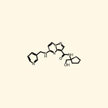 O=C(NC1(CO)CCCC1)c1cnn2ccc(NCc3cccnc3)nc12